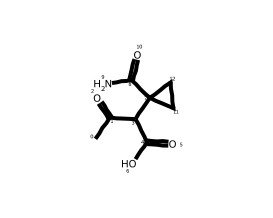 CC(=O)C(C(=O)O)C1(C(N)=O)CC1